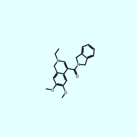 CCN1C=C(C(=O)N2Cc3ccccc3C2)c2cc(OC)c(OC)cc2C1